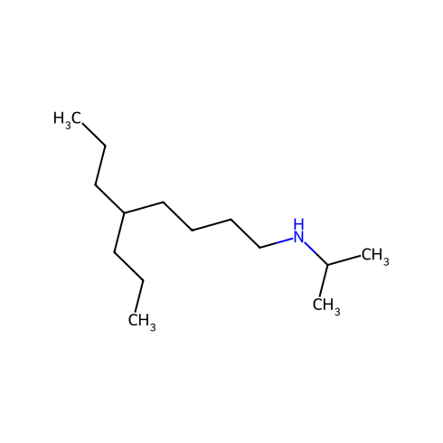 CCCC(CCC)CCCCNC(C)C